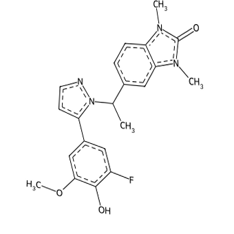 COc1cc(-c2ccnn2C(C)c2ccc3c(c2)n(C)c(=O)n3C)cc(F)c1O